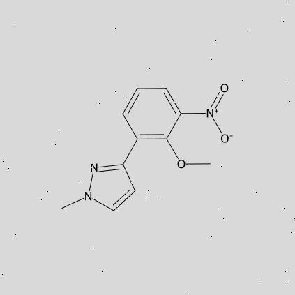 COc1c(-c2ccn(C)n2)cccc1[N+](=O)[O-]